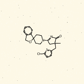 CC1(Cc2ccc(Cl)s2)CC(N2CCC3(CC2)OCc2ccccc23)=NC1=O